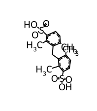 Cc1ccc(S(=O)(=O)O)c(C)c1Cc1c(C)ccc(S(=O)(=O)O)c1C